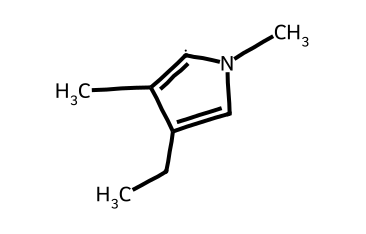 CCc1cn(C)[c]c1C